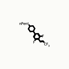 CCCCCC1CCC(c2cc(F)c(/C=C/C(F)(F)F)c(F)c2)CC1